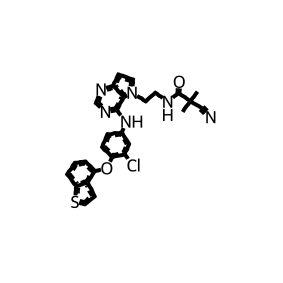 CC(C)(C#N)C(=O)NCCn1ccc2ncnc(Nc3ccc(Oc4cccc5sccc45)c(Cl)c3)c21